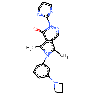 Cc1c2cnn(-c3ncccn3)c(=O)c2c(C)n1-c1cccc(N2CCC2)c1